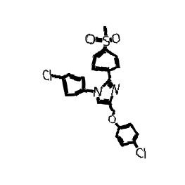 CS(=O)(=O)c1ccc(-c2nc(COc3ccc(Cl)cc3)cn2-c2ccc(Cl)cc2)cc1